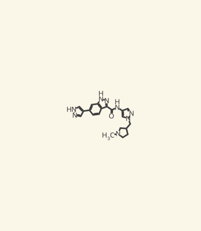 CN1CCC(Cn2cc(NC(=O)c3n[nH]c4cc(-c5cn[nH]c5)ccc34)cn2)C1